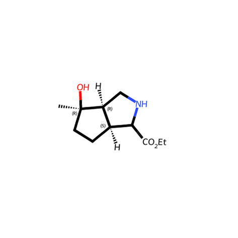 CCOC(=O)C1NC[C@H]2[C@@H]1CC[C@@]2(C)O